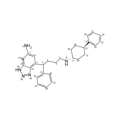 Nc1cc(C(CCCN[C@H]2CC[C@H](c3ccccc3)CC2)c2ccccc2)c2nn[nH]c2n1